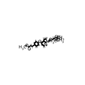 COC(=O)CCc1ccc(Oc2ccnc3c2ccn3COCC[SH](C)(C)(C)C)cc1